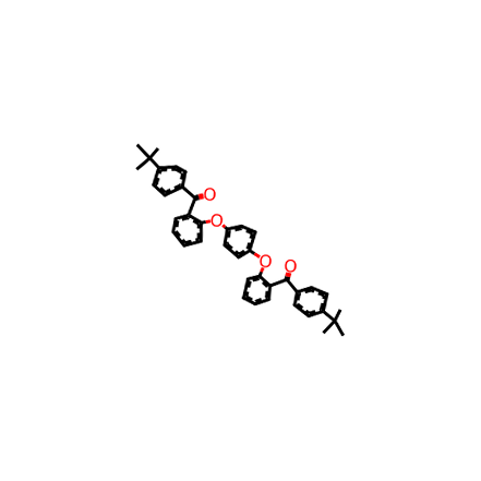 CC(C)(C)c1ccc(C(=O)c2ccccc2Oc2ccc(Oc3ccccc3C(=O)c3ccc(C(C)(C)C)cc3)cc2)cc1